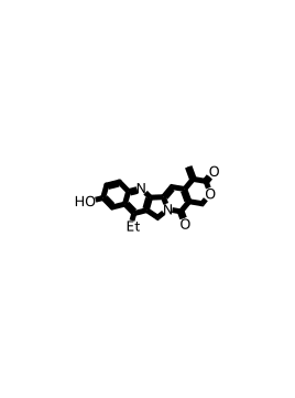 C=C1C(=O)OCc2c1cc1n(c2=O)Cc2c-1nc1ccc(O)cc1c2CC